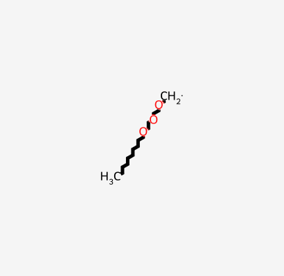 [CH2]COCCOCCOCCCCCCCCCC